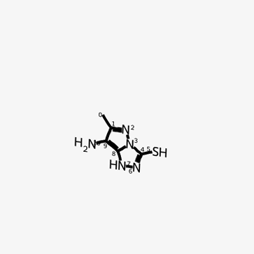 Cc1nn2c(S)n[nH]c2c1N